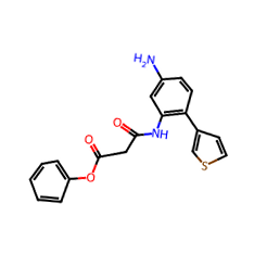 Nc1ccc(-c2ccsc2)c(NC(=O)CC(=O)Oc2ccccc2)c1